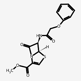 COC(=O)C1=CS[C@@H]2[C@H](NC(=O)COc3ccccc3)C(=O)N12